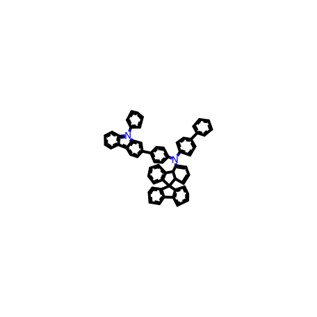 C1=CC2C(C(N(c3ccc(-c4ccccc4)cc3)c3ccc(-c4ccc5c6ccccc6n(-c6ccccc6)c5c4)cc3)=C1)c1ccccc1C21c2ccccc2-c2ccccc21